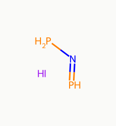 I.P=NP